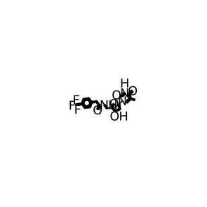 Cc1cn([C@H]2CC(O)[C@@H](CNC(=O)Cc3ccc(C(F)(F)F)cc3)O2)c(=O)[nH]c1=O